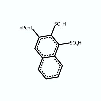 CCCCCc1cc2ccccc2c(S(=O)(=O)O)c1S(=O)(=O)O